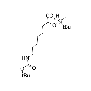 CC(C)(C)OC(=O)NCCCCCCC(O[Si](C)(C)C(C)(C)C)C(=O)O